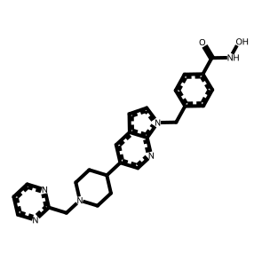 O=C(NO)c1ccc(Cn2ccc3cc(C4CCN(Cc5ncccn5)CC4)cnc32)cc1